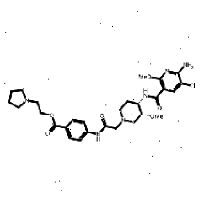 COc1nc(N)c(Cl)cc1C(=O)N[C@H]1CCN(CC(=O)Nc2ccc(C(=O)OCCN3CCCC3)cc2)C[C@H]1OC